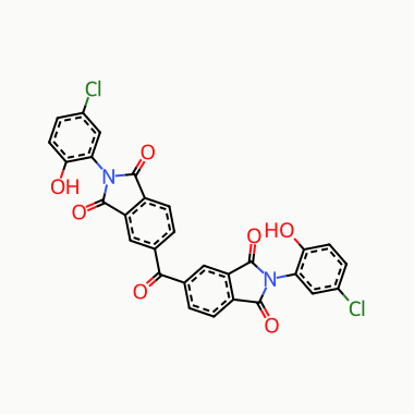 O=C(c1ccc2c(c1)C(=O)N(c1cc(Cl)ccc1O)C2=O)c1ccc2c(c1)C(=O)N(c1cc(Cl)ccc1O)C2=O